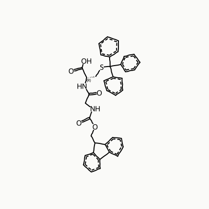 O=C(CNC(=O)OCC1c2ccccc2-c2ccccc21)N[C@@H](CSC(c1ccccc1)(c1ccccc1)c1ccccc1)C(=O)O